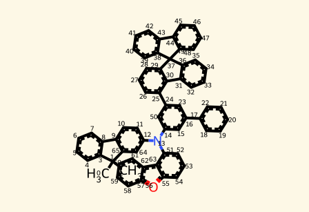 CC1(C)c2ccccc2-c2ccc(N(c3cc(-c4ccccc4)cc(-c4cccc5c4-c4ccccc4C54c5ccccc5-c5ccccc54)c3)c3cccc4oc5ccccc5c34)cc21